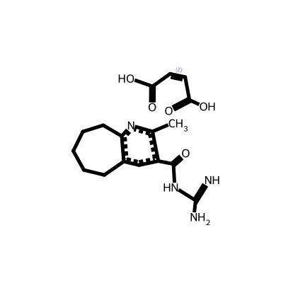 Cc1nc2c(cc1C(=O)NC(=N)N)CCCCC2.O=C(O)/C=C\C(=O)O